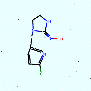 O/N=C1\NCCN1Cc1ccc(Cl)nc1